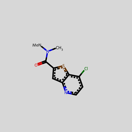 CNN(C)C(=O)c1cc2nccc(Cl)c2s1